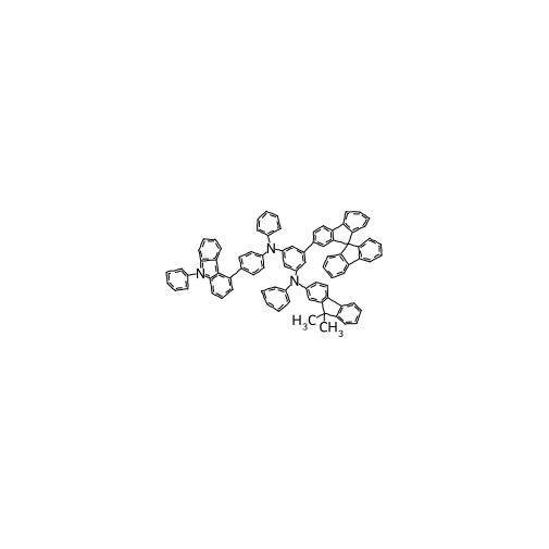 CC1(C)c2ccccc2-c2ccc(N(c3ccccc3)c3cc(-c4ccc5c(c4)C4(c6ccccc6-c6ccccc64)c4ccccc4-5)cc(N(c4ccccc4)c4ccc(-c5cccc6c5c5ccccc5n6-c5ccccc5)cc4)c3)cc21